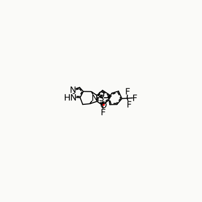 O=S(=O)(c1ccc(C(F)(F)F)cc1)N1C2Cc3[nH]ncc3C1c1cccc(F)c12